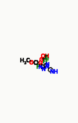 CCOc1ccc(Oc2ncnc3c2cnn3C2CCNCC2)c(F)c1.O=C(O)C(F)(F)F